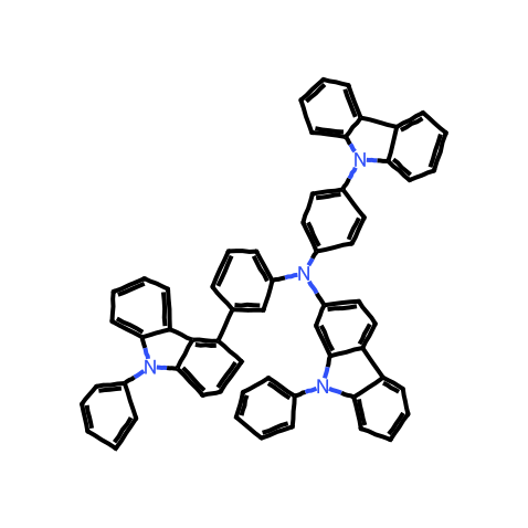 c1ccc(-n2c3ccccc3c3ccc(N(c4ccc(-n5c6ccccc6c6ccccc65)cc4)c4cccc(-c5cccc6c5c5ccccc5n6-c5ccccc5)c4)cc32)cc1